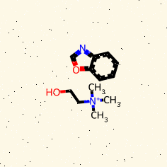 C[N+](C)(C)CCO.c1ccc2ocnc2c1